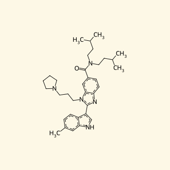 Cc1ccc2c(-c3nc4ccc(C(=O)N(CCC(C)C)CCC(C)C)cc4n3CCCN3CCCC3)c[nH]c2c1